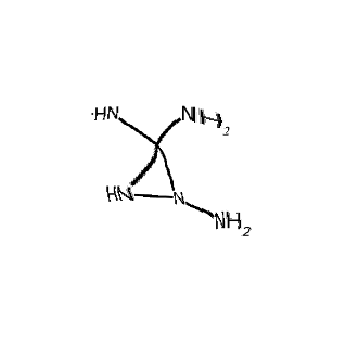 [NH]C1(N)NN1N